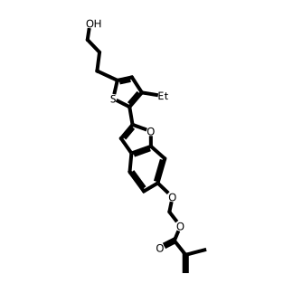 C=C(C)C(=O)OCOc1ccc2cc(-c3sc(CCCO)cc3CC)oc2c1